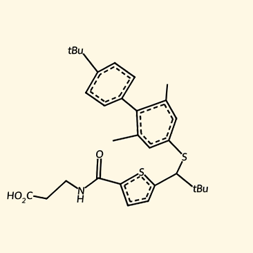 Cc1cc(SC(c2ccc(C(=O)NCCC(=O)O)s2)C(C)(C)C)cc(C)c1-c1ccc(C(C)(C)C)cc1